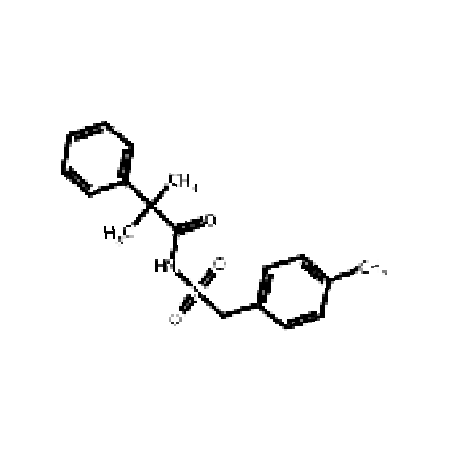 Cc1ccc(CS(=O)(=O)NC(=O)C(C)(C)c2ccccc2)cc1